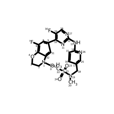 CCC(C)N1CCOc2c(F)cc(-c3nc(Nc4ccc(CN(C)S(C)(=O)=O)cn4)ncc3F)cc21